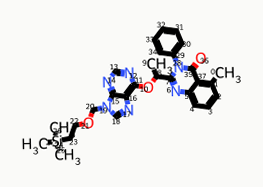 Cc1cccc2nc(C(C)Oc3ncnc4c3ncn4COCC[Si](C)(C)C)n(-c3ccccc3)c(=O)c12